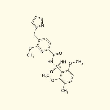 COc1ccc(C)c(OC)c1[S@](=N)(=O)NC(=O)c1ccc(Cn2cccn2)c(OC)n1